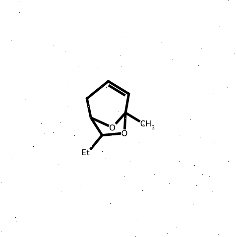 CCC1OC2(C)C=CCC1O2